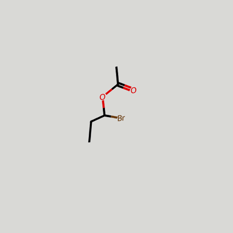 CCC(Br)OC(C)=O